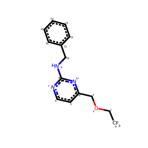 FC(F)(F)COCc1ccnc(NCc2ccccc2)n1